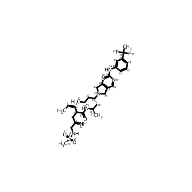 C/C=C\C(CC(=N)CNS(C)(=O)=O)C(=O)N[C@H](C)C[C@H](CCC)N1Cc2cnc(Nc3cccc(C(C)(F)F)c3)nc2C1